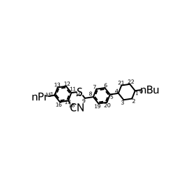 CCCCC1CCC(c2ccc(CSc3ccc(CCC)cc3C#N)cc2)CC1